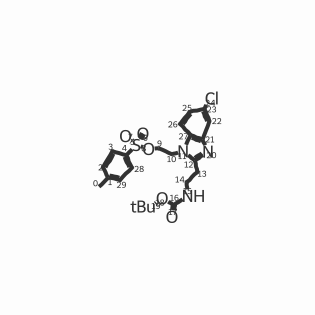 Cc1ccc(S(=O)(=O)OCCn2c(CCNC(=O)OC(C)(C)C)nc3cc(Cl)ccc32)cc1